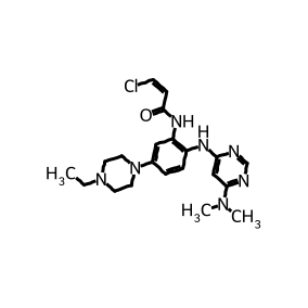 CCN1CCN(c2ccc(Nc3cc(N(C)C)ncn3)c(NC(=O)/C=C\Cl)c2)CC1